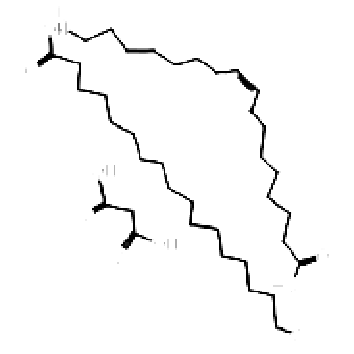 CCCCCCCC/C=C\CCCCCCCC(=O)O.CCCCCCCCCCCCCCCCCC(=O)O.O=C(O)CC(=O)O